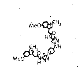 COc1ccc2c(c1)c(CC(=O)Nc1nnc(NC3CCN(c4nnc(NC(=O)Cc5cn(C)c6ccc(OC)cc56)s4)CC3)s1)cn2C